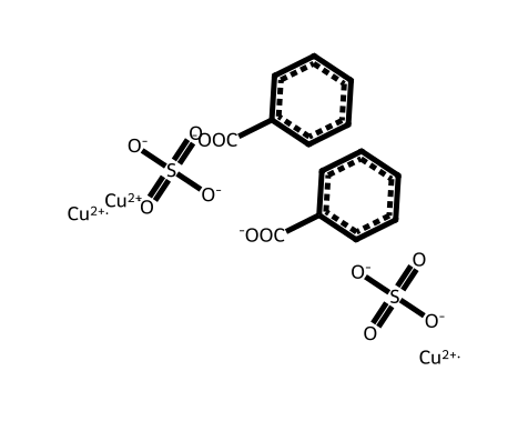 O=C([O-])c1ccccc1.O=C([O-])c1ccccc1.O=S(=O)([O-])[O-].O=S(=O)([O-])[O-].[Cu+2].[Cu+2].[Cu+2]